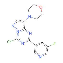 Fc1cncc(-c2nc(Cl)n3ncc(N4CCOCC4)c3n2)c1